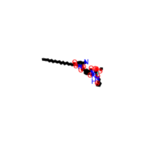 CCCCCCCCCCCCCCCCCC(=O)Oc1ccc(C#N)c(OC(=O)c2cccc(C(=O)N3C(=O)NC(ON=Cc4ccco4)C(F)(C(=O)OCC)C3=O)c2)n1